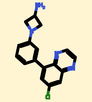 NC1CN(c2cccc(-c3cc(Cl)cc4nccnc34)c2)C1